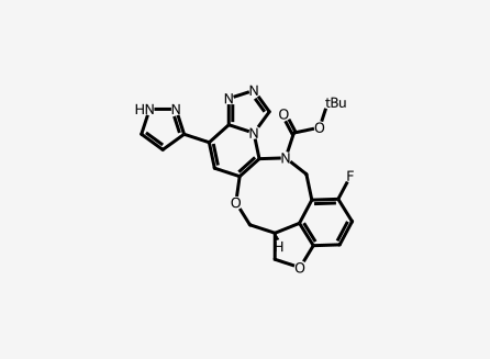 CC(C)(C)OC(=O)N1Cc2c(F)ccc3c2[C@H](CO3)COc2cc(-c3cc[nH]n3)c3nncn3c21